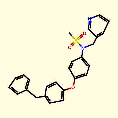 CS(=O)(=O)N(Cc1cccnc1)c1ccc(Oc2ccc(Cc3ccccc3)cc2)cc1